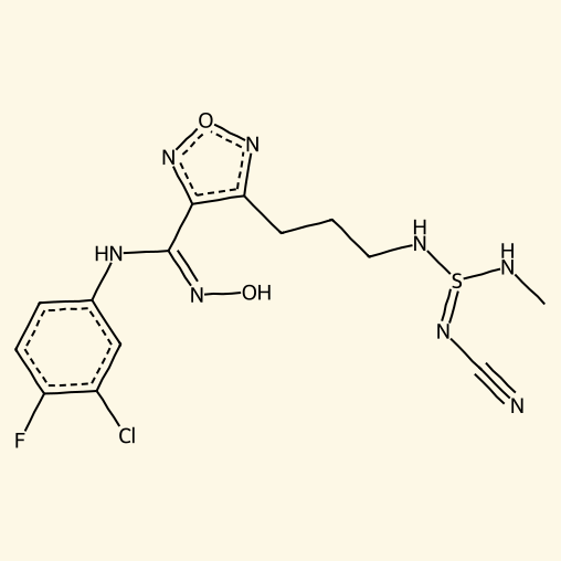 CNS(=NC#N)NCCCc1nonc1C(=NO)Nc1ccc(F)c(Cl)c1